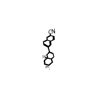 C[C@@H]1CC[C@@H]2CC(c3ccc4cc(C#N)ccc4c3)CCC2C1